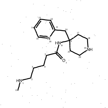 CNCCCCC(=O)NC1(Cc2ccccn2)CCNCC1